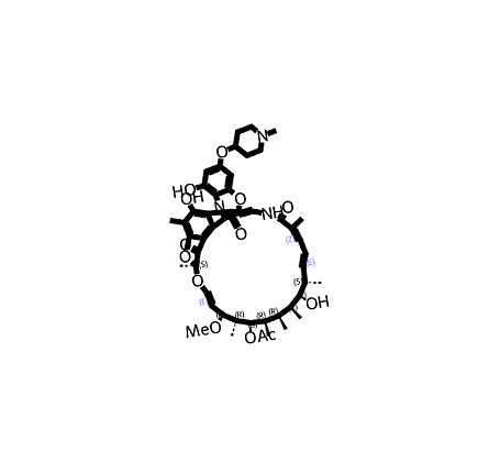 CO[C@H]1/C=C/O[C@@]2(C)Oc3c(C)c(O)c4c(=O)c(c5oc6cc(OC7CCN(C)CC7)cc(O)c6nc-5c4c3C2=O)NC(=O)/C(C)=C\C=C\[C@H](C)[C@H](O)[C@@H](C)[C@@H](C)[C@@H](C)[C@H](OC(C)=O)[C@@H]1C